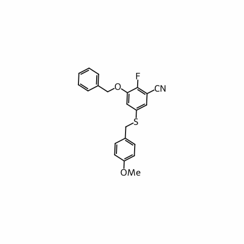 COc1ccc(CSc2cc(C#N)c(F)c(OCc3ccccc3)c2)cc1